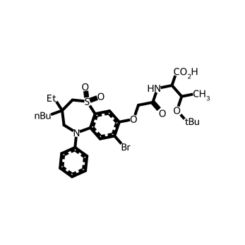 CCCCC1(CC)CN(c2ccccc2)c2cc(Br)c(OCC(=O)NC(C(=O)O)C(C)OC(C)(C)C)cc2S(=O)(=O)C1